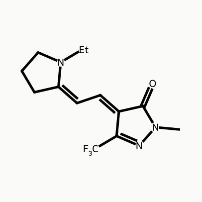 CCN1CCC/C1=C/C=C1/C(=O)N(C)N=C1C(F)(F)F